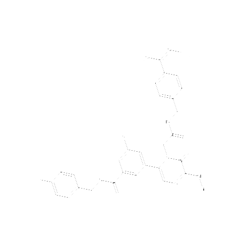 CC(C)Nc1ncc(-c2cc(N)cc(C(=O)NCc3ccc(F)cc3)c2)n(CC(=O)NCc2ccc(/C(N)=N\C(=O)O)cc2)c1=O